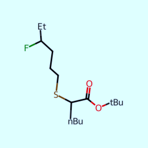 CCCCC(SCCCC(F)CC)C(=O)OC(C)(C)C